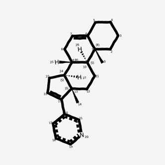 C[C@]12CCCCC1=CC[C@@H]1[C@@H]2CC[C@]2(C)C(c3cccnc3)=CC[C@@H]12